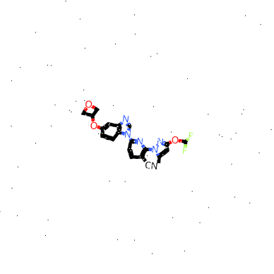 Cc1cc(OC(F)F)nn1-c1nc(-n2cnc3cc(OC4COC4)ccc32)ccc1C#N